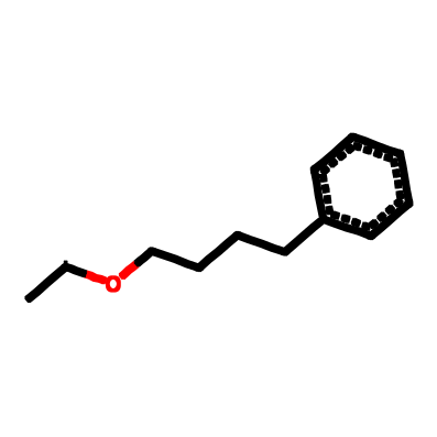 C[CH]OCCCCc1ccccc1